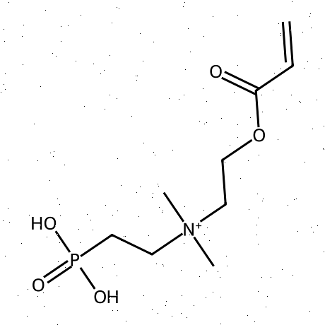 C=CC(=O)OCC[N+](C)(C)CCP(=O)(O)O